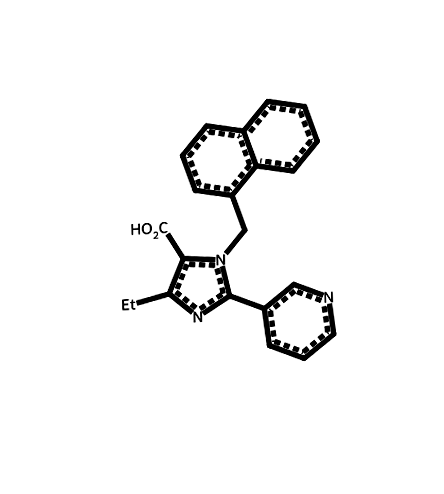 CCc1nc(-c2cccnc2)n(Cc2cccc3ccccc23)c1C(=O)O